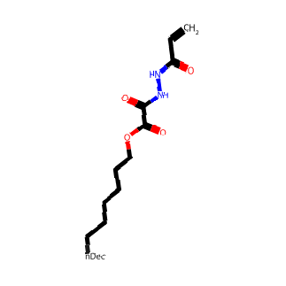 C=CC(=O)NNC(=O)C(=O)OCCCCCCCCCCCCCCCC